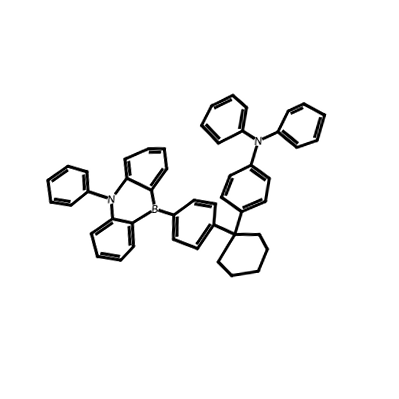 c1ccc(N(c2ccccc2)c2ccc(C3(c4ccc(B5c6ccccc6N(c6ccccc6)c6ccccc65)cc4)CCCCC3)cc2)cc1